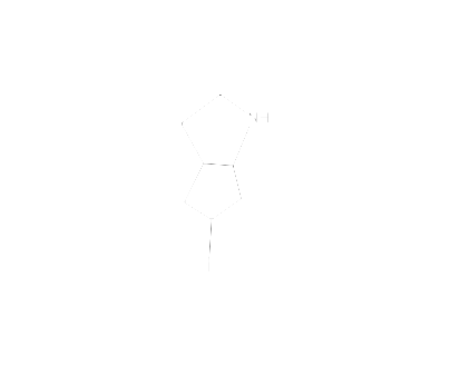 IC1CC2CCNC2C1